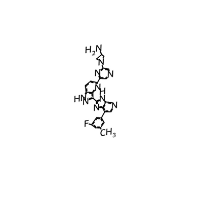 Cc1cc(F)cc(-c2cncc3[nH]c(-c4n[nH]c5ccc(-c6cncc(N7CC(N)C7)n6)nc45)nc23)c1